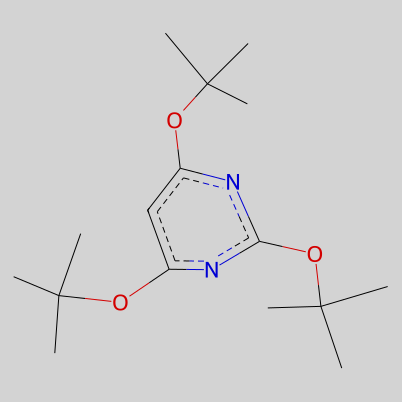 CC(C)(C)Oc1cc(OC(C)(C)C)nc(OC(C)(C)C)n1